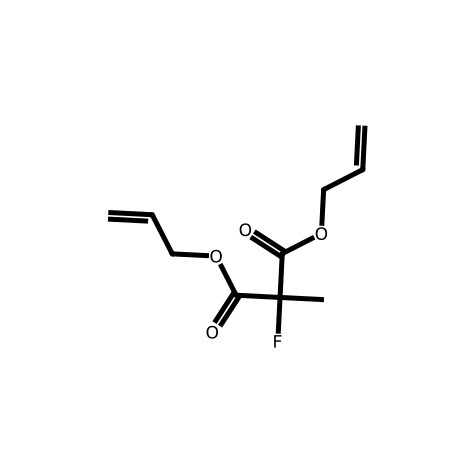 C=CCOC(=O)C(C)(F)C(=O)OCC=C